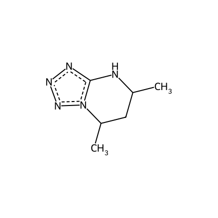 CC1CC(C)n2nnnc2N1